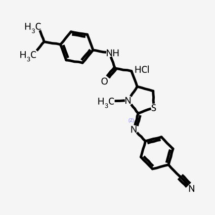 CC(C)c1ccc(NC(=O)CC2CS/C(=N\c3ccc(C#N)cc3)N2C)cc1.Cl